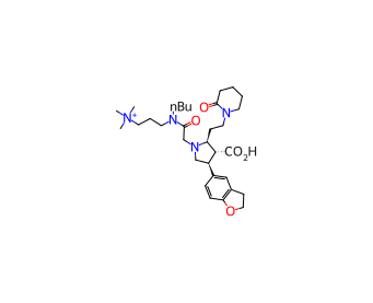 CCCCN(CCC[N+](C)(C)C)C(=O)CN1C[C@H](c2ccc3c(c2)CCO3)[C@@H](C(=O)O)[C@@H]1CCN1CCCCC1=O